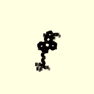 CN1CC[C@H]2CN(c3ccnc4c3c(-c3cncnc3)cn4COCC[Si](C)(C)C)CC[C@@H]21